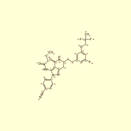 CSCC(=O)Nc1c2c(nn1-c1ccc(C#N)cn1)CC(CCc1cc(F)cc(OCC(C)(F)F)c1)NC2=O